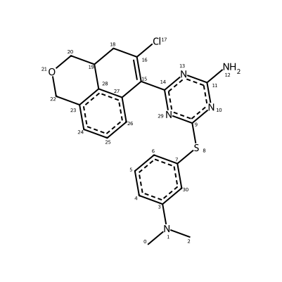 CN(C)c1cccc(Sc2nc(N)nc(C3=C(Cl)CC4COCc5cccc3c54)n2)c1